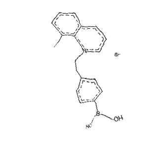 Cc1cccc2ccc[n+](Cc3ccc(B(O)O)cc3)c12.[Br-]